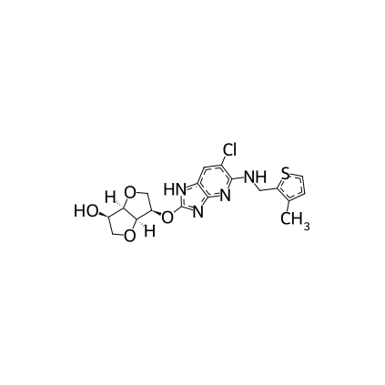 Cc1ccsc1CNc1nc2nc(O[C@@H]3CO[C@H]4[C@@H]3OC[C@H]4O)[nH]c2cc1Cl